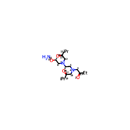 CCC(=O)CN(CCN(CCON)CC(=O)C(C)C)CC(=O)C(C)C